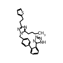 CCCCc1nc(CCc2cccs2)nn1Cc1ccc(-c2ccccc2-c2nnn[nH]2)cc1